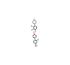 CCc1ccc(-c2ccc(OCc3ccc(C4CCC(C)CC4)c(F)c3F)cc2)c(F)c1